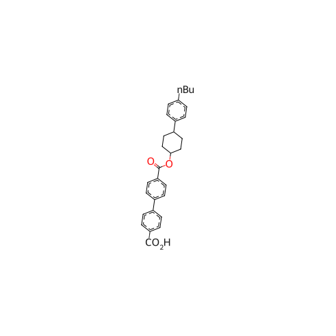 CCCCc1ccc(C2CCC(OC(=O)c3ccc(-c4ccc(C(=O)O)cc4)cc3)CC2)cc1